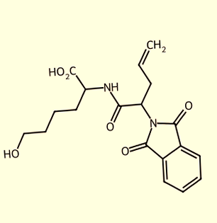 C=CCC(C(=O)NC(CCCCO)C(=O)O)N1C(=O)c2ccccc2C1=O